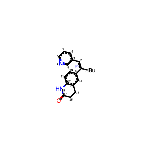 CCC(C)/C(=C/c1cccnc1)c1ccc2c(c1)CCC(=O)N2